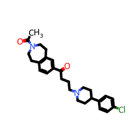 CC(=O)N1CCc2ccc(C(=O)CCCN3CCC(c4ccc(Cl)cc4)CC3)cc2CC1